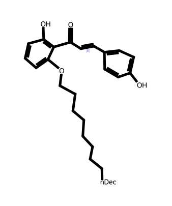 CCCCCCCCCCCCCCCCCCOc1cccc(O)c1C(=O)/C=C/c1ccc(O)cc1